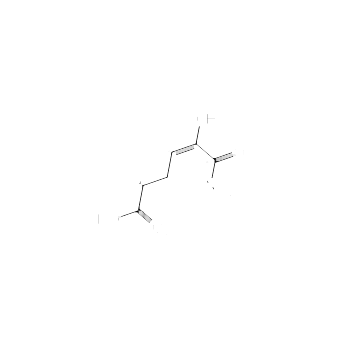 CC(=CCCC(=O)O)C(N)=O